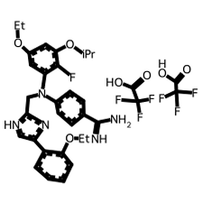 CCOc1cc(OC(C)C)c(F)c(N(Cc2nc(-c3ccccc3OCC)c[nH]2)c2ccc(C(=N)N)cc2)c1.O=C(O)C(F)(F)F.O=C(O)C(F)(F)F